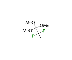 COC(OC)(OC)C(C)(F)F